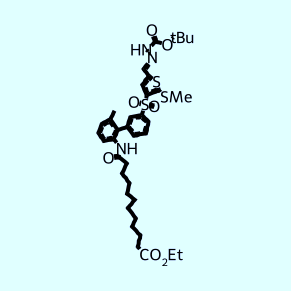 CCOC(=O)CCCCCCCCCCC(=O)Nc1cccc(C)c1-c1cccc(S(=O)(=O)c2cc(C=NNC(=O)OC(C)(C)C)sc2SC)c1